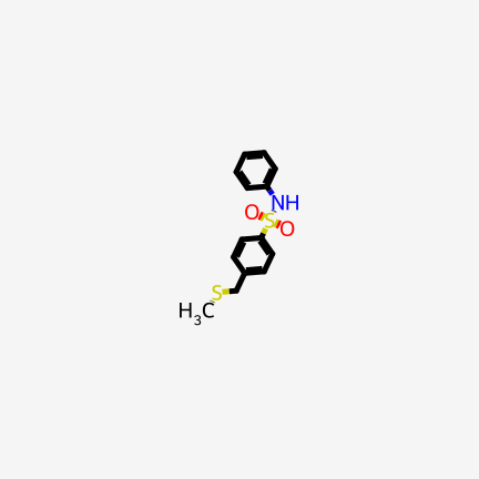 CSCc1ccc(S(=O)(=O)Nc2ccccc2)cc1